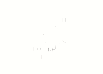 C=C1OC[C@@H](C2CCCN(C(C)C)C2)N(C)C[C@H](C)C[C@@](C)(OC)[C@H](O[C@@H]2N[C@H](C)C[C@H](N(C)C)[C@H]2O)[C@@H](C)C(=C)C1(C)C